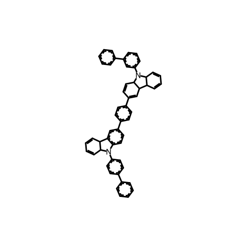 C1=CC2c3cc(-c4ccc(C5=CC6C7C=CC=CC7N(c7cccc(-c8ccccc8)c7)C6C=C5)cc4)ccc3N(c3ccc(-c4ccccc4)cc3)C2C=C1